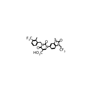 Cc1c(Cn2c(=O)c(C(=O)O)cn(-c3ccc4c(c3)n(C)c(=O)n4CC(F)(F)F)c2=O)cccc1C(F)(F)F